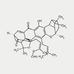 CC(C)=CCc1c2c(c(O)c3c1O[C@]1(C)CCC4C3C1C4(C)C)C(=O)C1=C[C@@H]3CC4C(C)(C)OC(C/C=C(/C)OC=O)(C3=O)[C@@]14O2